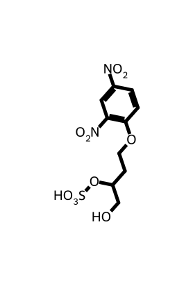 O=[N+]([O-])c1ccc(OCCC(CO)OS(=O)(=O)O)c([N+](=O)[O-])c1